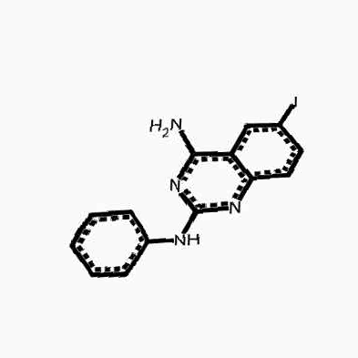 Nc1nc(Nc2ccccc2)nc2ccc(I)cc12